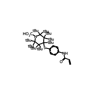 C=CC(=O)Nc1ccc(SC2(C(C)(C)C)C(C(C)(C)C)(C(C)(C)C)C(C(C)(C)C)(C(C)(C)C)N(C(=O)O)C(C(C)(C)C)(C(C)(C)C)C2(C(C)(C)C)C(C)(C)C)cc1